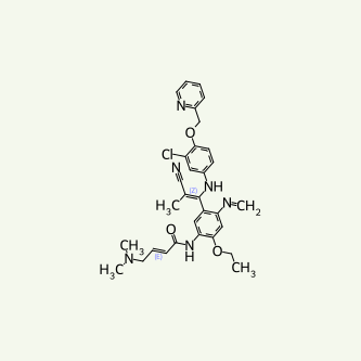 C=Nc1cc(OCC)c(NC(=O)/C=C/CN(C)C)cc1/C(Nc1ccc(OCc2ccccn2)c(Cl)c1)=C(\C)C#N